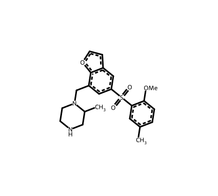 COc1ccc(C)cc1S(=O)(=O)c1cc(CN2CCNCC2C)c2occc2c1